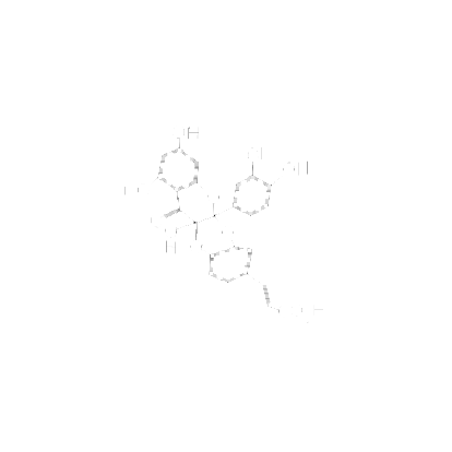 O=C(O)/C=C/c1ccc2c(c1)OC1(c3ccc(O)c(O)c3)Oc3cc(O)cc(O)c3C(=O)C1(O)O2